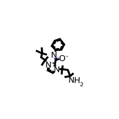 CC(C)(C)CC(C)(C)[n+]1ccn(C(C)(C)CC(C)(C)N)c1/C([O-])=N/c1ccccc1